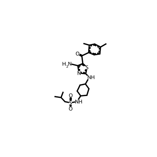 Cc1ccc(C(=O)c2sc(NC3CCC(NS(=O)(=O)CC(C)C)CC3)nc2N)c(C)c1